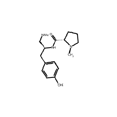 CNC[C@H](Cc1ccc(O)cc1)NC(=O)[C@@H]1CCCN1C